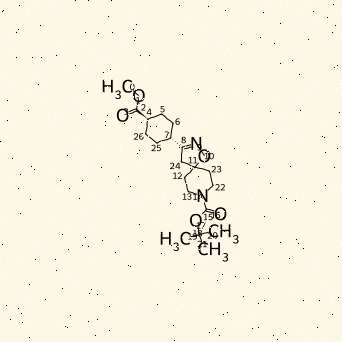 COC(=O)[C@H]1CC[C@H](C2=NOC3(CCN(C(=O)OC(C)(C)C)CC3)C2)CC1